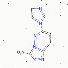 O=[N+]([O-])c1cnc2ccc(-n3ccnc3)nn12